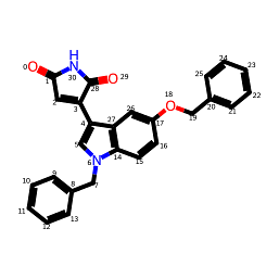 O=C1C=C(c2cn(Cc3ccccc3)c3ccc(OCc4ccccc4)cc23)C(=O)N1